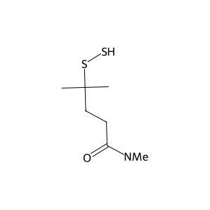 CNC(=O)CCC(C)(C)SS